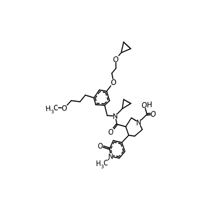 COCCCc1cc(CN(C(=O)C2CN(C(=O)O)CCC2c2ccn(C)c(=O)c2)C2CC2)cc(OCCOC2CC2)c1